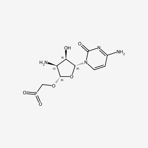 Nc1ccn([C@@H]2O[C@H](OCP(=O)=O)[C@@H](N)[C@H]2O)c(=O)n1